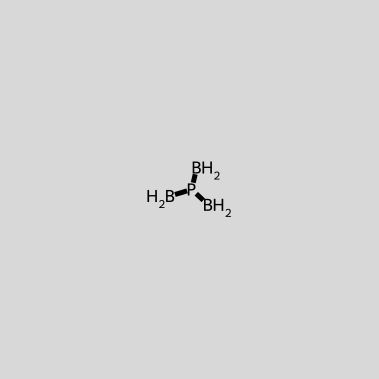 BP(B)B